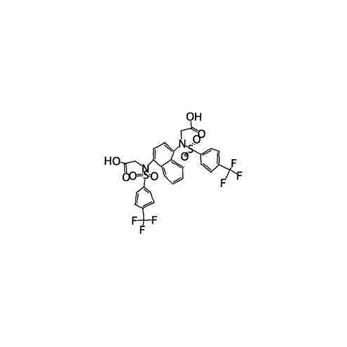 O=C(O)CN(c1ccc(N(CC(=O)O)S(=O)(=O)c2ccc(C(F)(F)F)cc2)c2ccccc12)S(=O)(=O)c1ccc(C(F)(F)F)cc1